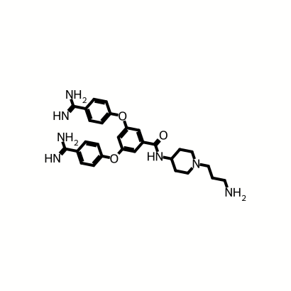 N=C(N)c1ccc(Oc2cc(Oc3ccc(C(=N)N)cc3)cc(C(=O)NC3CCN(CCCN)CC3)c2)cc1